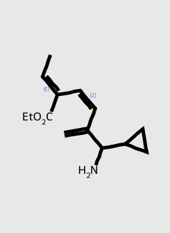 C=C(/C=C\C(=C/C)C(=O)OCC)C(N)C1CC1